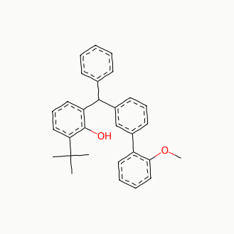 COc1ccccc1-c1cccc(C(c2ccccc2)c2cccc(C(C)(C)C)c2O)c1